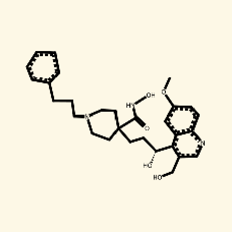 COc1ccc2ncc(CO)c([C@H](O)CCC3(C(=O)NO)CCN(CCCc4ccccc4)CC3)c2c1